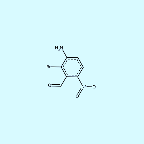 Nc1ccc([N+](=O)[O-])c(C=O)c1Br